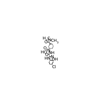 CN(C)C(=O)[C@H]1CCCC(N(NC(=O)C(=NO)Nc2ccc(Cl)cc2)C(=O)O)C1